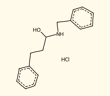 Cl.OC(CCc1ccccc1)NCc1ccccc1